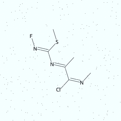 C/N=C(Cl)\C(C)=N\C(=NF)SC